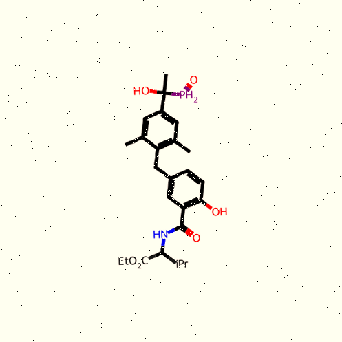 CCOC(=O)C(NC(=O)c1cc(Cc2c(C)cc(C(C)(O)[PH2]=O)cc2C)ccc1O)C(C)C